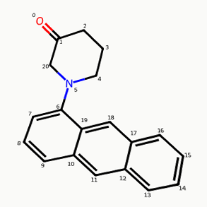 O=C1CCCN(c2cccc3cc4ccccc4cc23)C1